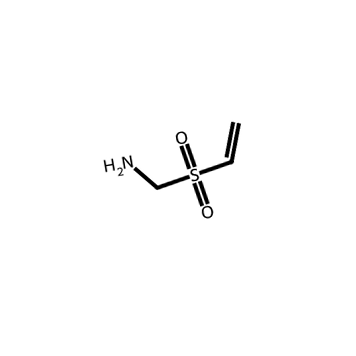 C=CS(=O)(=O)CN